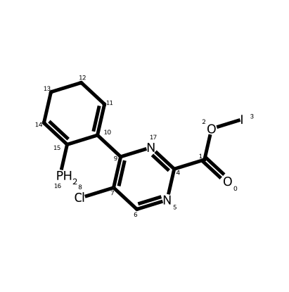 O=C(OI)c1ncc(Cl)c(C2=CCCC=C2P)n1